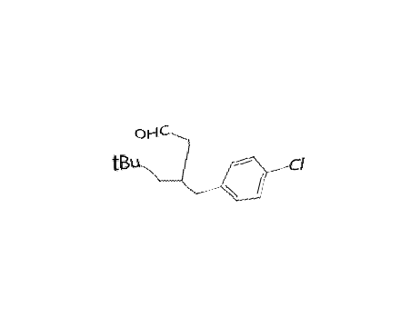 CC(C)(C)CC(CC=O)Cc1ccc(Cl)cc1